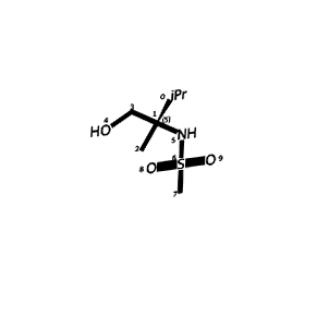 CC(C)[C@@](C)(CO)NS(C)(=O)=O